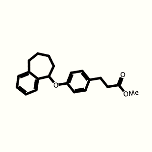 COC(=O)CCc1ccc(OC2CCCCc3ccccc32)cc1